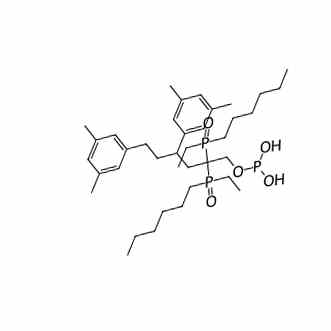 CCCCCCP(=O)(CC)C(COP(O)O)(CC(CCc1cc(C)cc(C)c1)c1cc(C)cc(C)c1)P(=O)(CC)CCCCCC